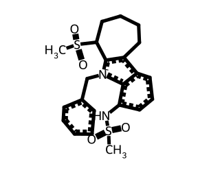 CS(=O)(=O)Nc1cccc2c3c(n(Cc4ccccc4)c12)C(S(C)(=O)=O)CCCC3